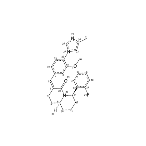 COc1cc(C=C2CC[C@@H]3CCC[C@H](c4ccccc4F)N3C2=O)ccc1-n1cnc(C)c1